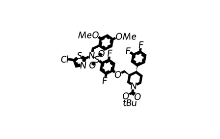 COc1ccc(CN(c2ncc(Cl)s2)S(=O)(=O)c2cc(F)c(OC[C@@H]3CN(C(=O)OC(C)(C)C)CC[C@H]3c3ccc(F)c(F)c3)cc2F)c(OC)c1